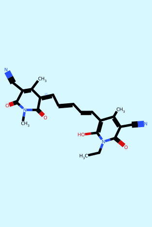 CCn1c(O)c(C=CC=C/C=C2\C(=O)N(C)C(=O)C(C#N)=C2C)c(C)c(C#N)c1=O